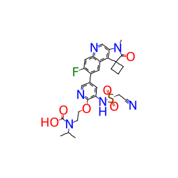 CC(C)N(CCOc1ncc(-c2cc3c4c(cnc3cc2F)N(C)C(=O)C42CCC2)cc1NS(=O)(=O)CC#N)C(=O)O